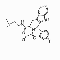 CN(C)CCNC(=O)C1Cc2c([nH]c3ccccc23)[C@H](c2ccc(F)cc2)N1C(=O)CCl